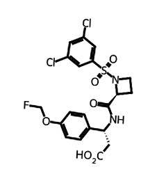 O=C(O)C[C@@H](NC(=O)[C@@H]1CCN1S(=O)(=O)c1cc(Cl)cc(Cl)c1)c1ccc(OCF)cc1